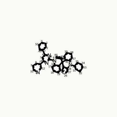 c1ccc(-c2cc(-c3cccnc3)nc(N3c4ccccc4C4(c5ccccc5N(c5ccccc5)c5ccccc54)c4ccccc43)n2)cc1